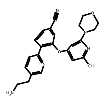 Cc1cc(Oc2cc(C#N)ccc2-c2ccc(CCN)cn2)cc(N2CCOCC2)n1